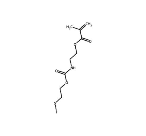 C=C(C)C(=O)OCCNC(=O)OCCSI